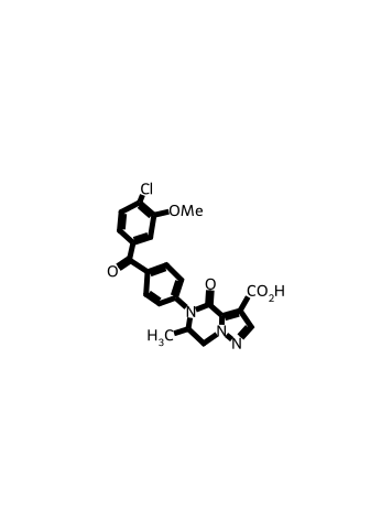 COc1cc(C(=O)c2ccc(N3C(=O)c4c(C(=O)O)cnn4CC3C)cc2)ccc1Cl